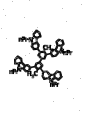 CCCn1c2ccccc2c2cc(-c3cc(-c4cc(-c5ccc6c(c5)c5ccccc5n6CCC)c(C)c(-c5ccc6c(c5)c5ccccc5n6CCC)c4)cc(-c4ccc5c(c4)c4ccccc4n5CCC)c3C)ccc21